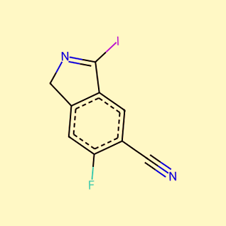 N#Cc1cc2c(cc1F)CN=C2I